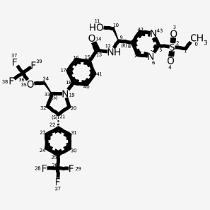 CCS(=O)(=O)c1ncc([C@H](CO)NC(=O)c2ccc(N3C[C@H](c4ccc(C(F)(F)F)cc4)C[C@H]3COC(F)(F)F)cc2)cn1